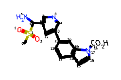 CS(=O)(=O)C(N)c1cncc(-c2ccc3ccn(C(=O)O)c3c2)c1